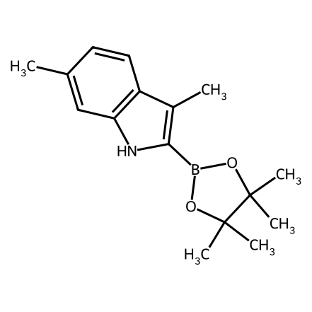 Cc1ccc2c(C)c(B3OC(C)(C)C(C)(C)O3)[nH]c2c1